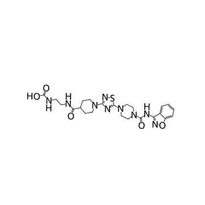 O=C(O)NCCNC(=O)C1CCN(c2nsc(N3CCN(C(=O)Nc4noc5ccccc45)CC3)n2)CC1